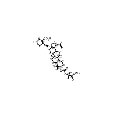 C=C(C)[C@@H]1CC[C@]2(C#CC3=C(C(=O)O)CNCC3)CC[C@]3(C)C(CCC4[C@@]5(C)CC[C@H](OC(=O)CC(C)(C)C(=O)OC)C(C)(C)C5CC[C@]43C)C12